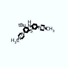 CN1CCN(c2ccc3c(c2)Sc2cc(N4CCN(C)CC4)cc(C(C)(C)C)c2N3)CC1